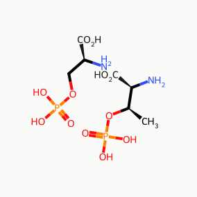 C[C@@H](OP(=O)(O)O)[C@H](N)C(=O)O.N[C@@H](COP(=O)(O)O)C(=O)O